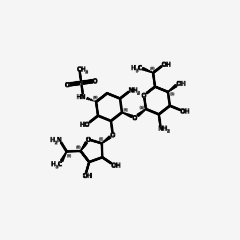 C[C@@H](O)C1O[C@H](O[C@@H]2C(N)C[C@@H](NS(C)(=O)=O)C(O)C2O[C@@H]2O[C@H]([C@@H](C)N)C(O)C2O)C(N)C(O)[C@@H]1O